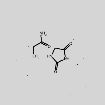 CCC(N)=O.O=C1CNC(=O)N1